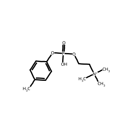 Cc1ccc(OP(=O)(O)OCC[N+](C)(C)C)cc1